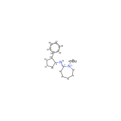 CCCCN1CCCCCC1=NC1CCCC1c1ccccc1